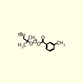 Cc1cccc(C(=O)OOOC(C)(C)CC(C)(C)C)c1